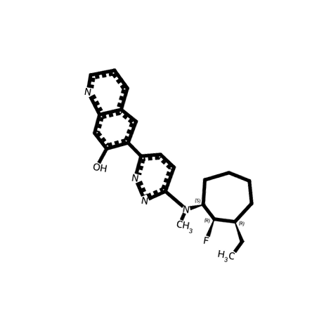 CC[C@@H]1CCCC[C@H](N(C)c2ccc(-c3cc4cccnc4cc3O)nn2)[C@@H]1F